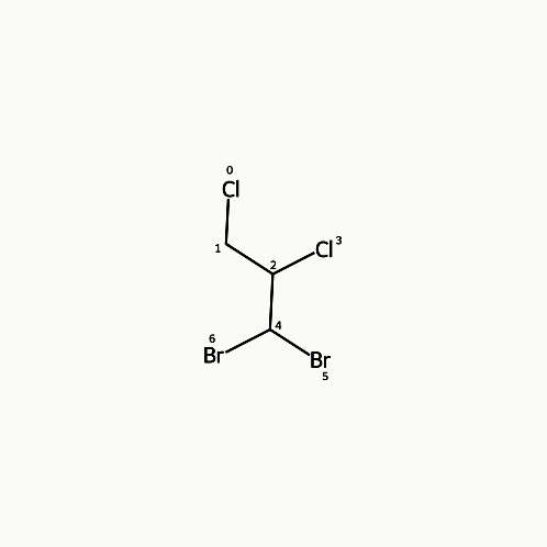 ClCC(Cl)C(Br)Br